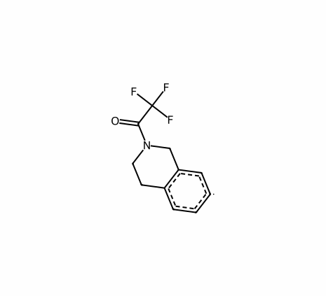 O=C(N1CCc2cc[c]cc2C1)C(F)(F)F